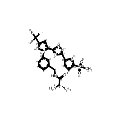 C[C@H](N)C(=O)NCc1cccc(-n2nc(C(F)(F)F)cc2-c2nnc(-c3ccc(S(C)(=O)=O)s3)o2)c1